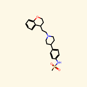 CS(=O)(=O)Nc1ccc(C2CCN(CCC3CCOc4ccccc43)CC2)cc1